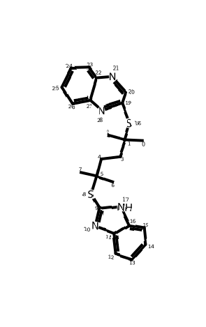 CC(C)(CCC(C)(C)Sc1nc2ccccc2[nH]1)Sc1cnc2ccccc2n1